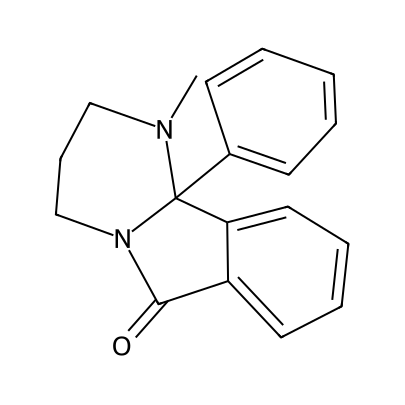 CN1CCCN2C(=O)c3ccccc3C12c1ccccc1